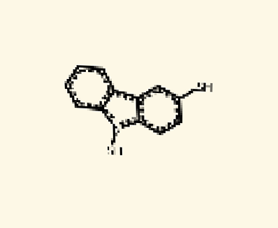 Sc1ccc2c(c1)c1ccccc1n2S